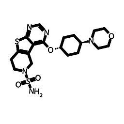 NS(=O)(=O)N1CCc2sc3ncnc(O[C@H]4CC[C@H](N5CCOCC5)CC4)c3c2C1